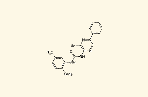 COc1ccc(C)cc1NC(=O)Nc1ncc(-c2ccccc2)nc1Br